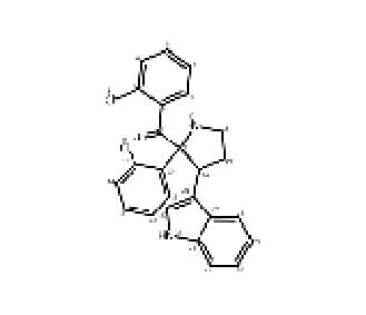 O=C(c1ccccc1Cl)C1(c2ccccc2Cl)[N]CCC1c1c[nH]c2ccccc12